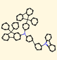 c1ccc(C2(c3ccc(N(c4ccc(-c5cccc(-n6c7ccccc7c7ccccc76)c5)cc4)c4ccc5c(c4)C(c4ccccc4)(c4ccccc4)c4ccccc4-5)cc3)c3ccccc3-c3ccccc32)cc1